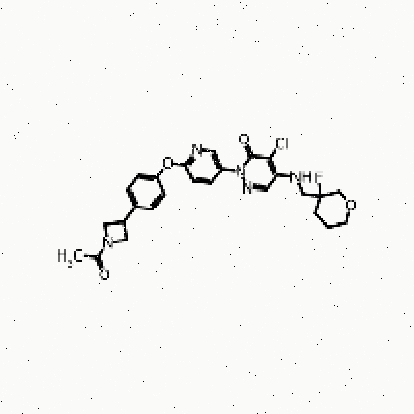 CC(=O)N1CC(c2ccc(Oc3ccc(-n4ncc(NC[C@@]5(F)CCCOC5)c(Cl)c4=O)cn3)cc2)C1